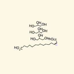 CCCCCCCC/C=C\CCCCCCCCCCCC(=O)O.OCC(O)CO.OCC(O)CO.OCC(O)CO